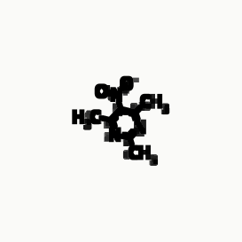 Cc1nc(C)c([N+](=O)[O-])c(C)n1